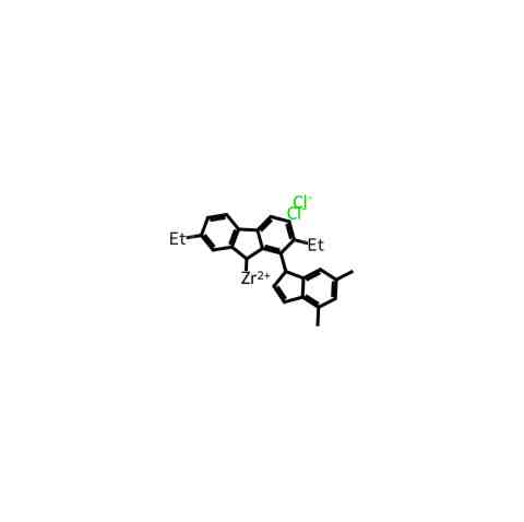 CCc1ccc2c(c1)[CH]([Zr+2])c1c-2ccc(CC)c1C1C=Cc2c(C)cc(C)cc21.[Cl-].[Cl-]